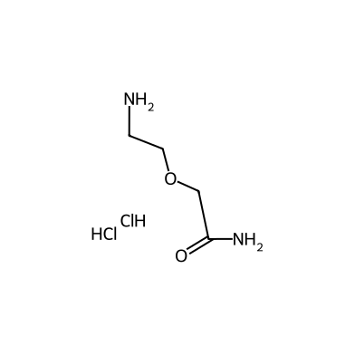 Cl.Cl.NCCOCC(N)=O